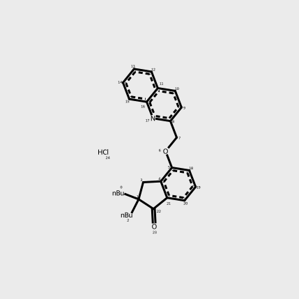 CCCCC1(CCCC)Cc2c(OCc3ccc4ccccc4n3)cccc2C1=O.Cl